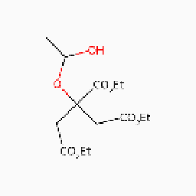 CCOC(=O)CC(CC(=O)OCC)(OC(C)O)C(=O)OCC